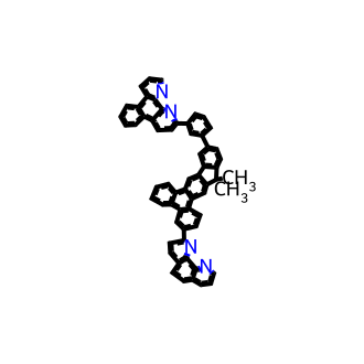 CC1(C)c2ccc(-c3cccc(-c4ccc5c6ccccc6c6cccnc6c5n4)c3)cc2-c2cc3c4ccccc4c4cc(-c5ccc6ccc7cccnc7c6n5)ccc4c3cc21